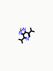 CC(C)c1cnc(C(C)C)c2nsnc12